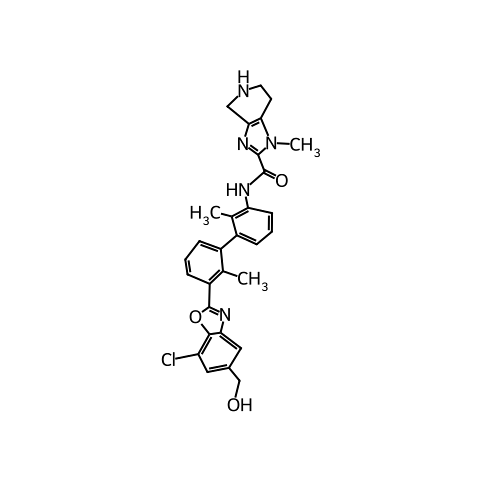 Cc1c(NC(=O)c2nc3c(n2C)CCNC3)cccc1-c1cccc(-c2nc3cc(CO)cc(Cl)c3o2)c1C